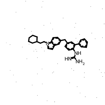 N=C(N)Nc1ccc(Cc2ccc3c(ccn3CCC3CCCCC3)c2)cc1-c1ccccc1